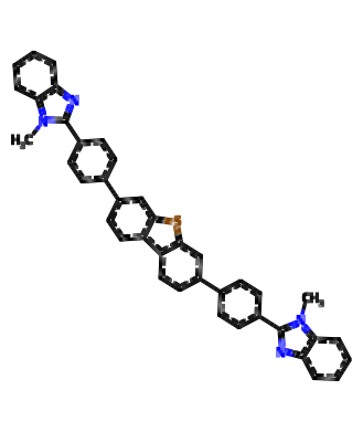 Cn1c(-c2ccc(-c3ccc4c(c3)sc3cc(-c5ccc(-c6nc7ccccc7n6C)cc5)ccc34)cc2)nc2ccccc21